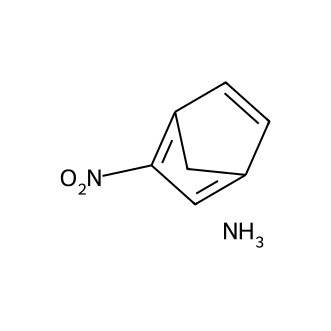 N.O=[N+]([O-])C1=C2C=CC(=C1)C2